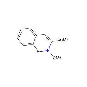 COC1=Cc2ccccc2[C]N1OC